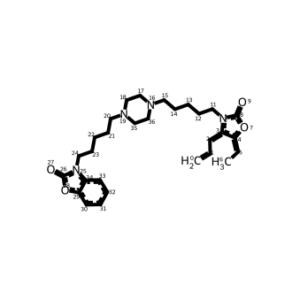 C=C/C=c1\c(=C/C)oc(=O)n1CCCCCN1CCN(CCCCCn2c(=O)oc3ccccc32)CC1